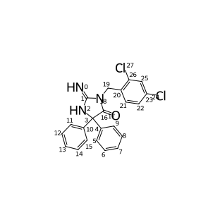 N=C1NC(c2ccccc2)(c2ccccc2)C(=O)N1Cc1ccc(Cl)cc1Cl